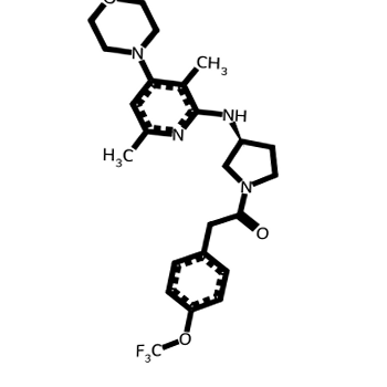 Cc1cc(N2CCOCC2)c(C)c(N[C@H]2CCN(C(=O)Cc3ccc(OC(F)(F)F)cc3)C2)n1